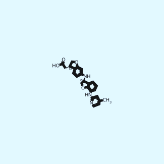 Cc1ccnc(Nc2cccc3c2OC[C@H]3Nc2ccc3c(c2)OC[C@H]3CC(=O)O)c1